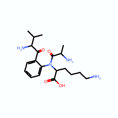 CC(N)C(=O)N(c1ccccc1C(=O)C(N)C(C)C)C(CCCCN)C(=O)O